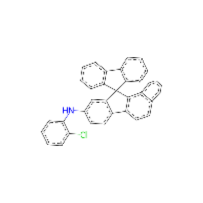 Clc1ccccc1Nc1ccc2c(c1)C1(c3ccccc3-c3ccccc31)c1c-2ccc2ccccc12